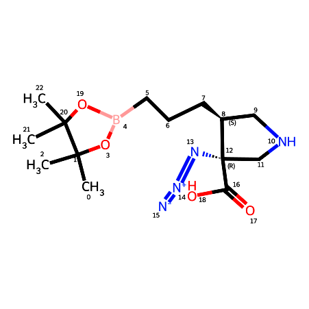 CC1(C)OB(CCC[C@H]2CNC[C@@]2(N=[N+]=[N-])C(=O)O)OC1(C)C